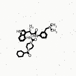 C[C@@H](c1c[nH]c2ccccc12)[C@@H](NC(=O)N1CCN(C(=O)C2CCCCC2)CC1)C(=O)Nc1cccc(CN(C)C)c1